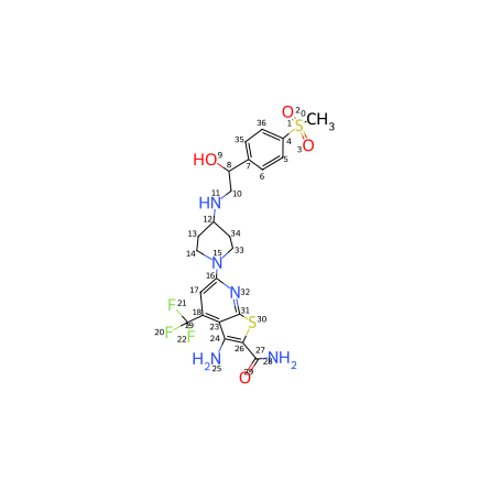 CS(=O)(=O)c1ccc(C(O)CNC2CCN(c3cc(C(F)(F)F)c4c(N)c(C(N)=O)sc4n3)CC2)cc1